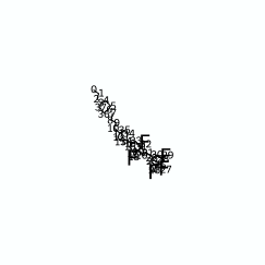 CCC[C@H]1CC[C@H](CCCCC2CCC(c3cc(F)c(C=Cc4cc(F)c(F)c(F)c4)c(F)c3)CC2)CC1